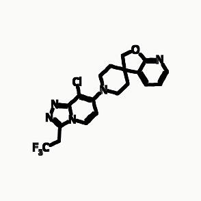 FC(F)(F)Cc1nnc2c(Cl)c(N3CCC4(CC3)COc3ncccc34)ccn12